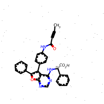 CC#CC(=O)Nc1ccc(-c2c(-c3ccccc3)oc3ncnc(N[C@H](C(=O)O)c4ccccc4)c23)cc1